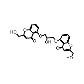 O=c1cc(CO)oc2cccc(OCC(O)COc3cccc4oc(CO)cc(=O)c34)c12